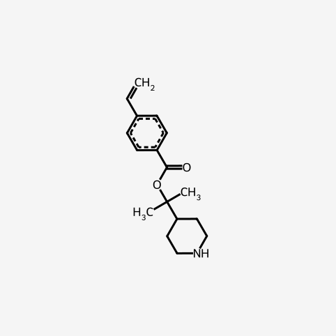 C=Cc1ccc(C(=O)OC(C)(C)C2CCNCC2)cc1